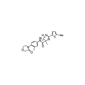 C#Cc1ccc(C(N)=NC(C)(C(=O)Nc2ccc(N3CCOCC3=O)c(C)c2)C(F)(F)F)s1